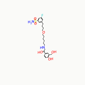 NS(=O)(=O)c1cc(F)cc(CCCCOCCCCCCNC[C@@H](O)c2ccc(O)c(CO)c2)c1